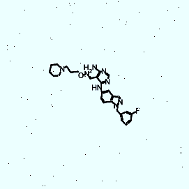 Nc1ncnc(Nc2ccc3c(cnn3Cc3cccc(F)c3)c2)c1/C=N/OCCCN1CCCCC1